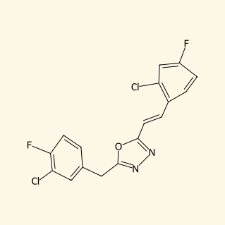 Fc1ccc(/C=C/c2nnc(Cc3ccc(F)c(Cl)c3)o2)c(Cl)c1